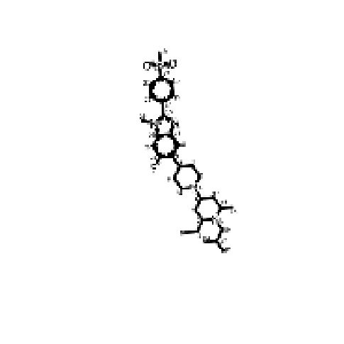 CCC1CC(N2CCC(c3cc4nc(-c5ccc(S(C)(=O)=O)cc5)n(C)c4cc3F)CC2)CC(C)N1CC(C)C